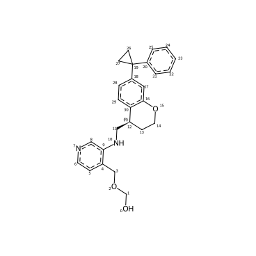 OCOCc1ccncc1NC[C@@H]1CCOc2cc(C3(c4ccccc4)CC3)ccc21